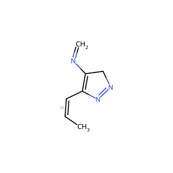 C=NC1=C(/C=C\C)N=NC1